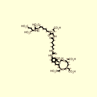 O=C(O)CC[C@H](NC(=O)N[C@@H](CCCCNC(=O)[C@H](CCC(=O)O)NC(=O)CCCCCNC(=S)Nc1ccc(CC2CN(CC(=O)O)CCN(CC(=O)O)CC[C@@H](CC(=O)O)CCN2CC(=O)O)cc1)C(=O)O)C(=O)O